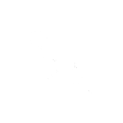 CC(=O)c1c[nH]c(C(=O)NCc2cccs2)c1